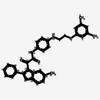 Cc1cc(C)nc(OCCNc2ccc(NC(=O)C(=O)c3c(-c4ccccc4)cc4ccc(C)cn34)cc2)c1